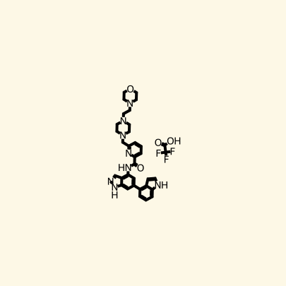 O=C(Nc1cc(-c2cccc3[nH]ccc23)cc2[nH]ncc12)c1cccc(CN2CCN(CCN3CCOCC3)CC2)n1.O=C(O)C(F)(F)F